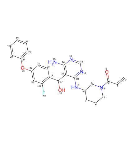 C=CC(=O)N1CCCC(Nc2ncnc(N)c2C(O)c2ccc(Oc3ccccc3)cc2F)C1